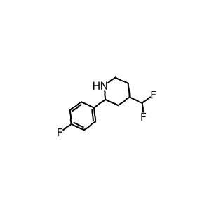 Fc1ccc(C2CC(C(F)F)CCN2)cc1